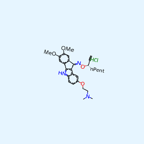 C#C[C@H](CCCCC)ON=C1c2cc(OC)c(OC)cc2-c2[nH]c3ccc(OCCN(C)C)cc3c21.Cl